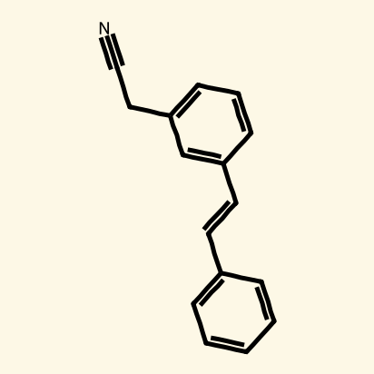 N#CCc1cccc(C=Cc2ccccc2)c1